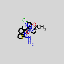 C[C@H](Oc1cc(Cl)nc(-c2onc3c2CCC[C@@]32CCCc3sc(N)c(C#N)c32)n1)[C@@H]1CCCN1C